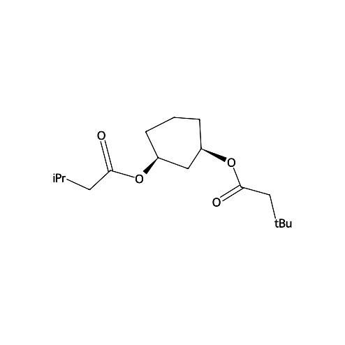 CC(C)CC(=O)O[C@H]1CCC[C@@H](OC(=O)CC(C)(C)C)C1